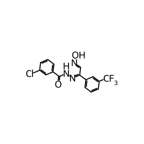 O=C(N/N=C(\C=N\O)c1cccc(C(F)(F)F)c1)c1cccc(Cl)c1